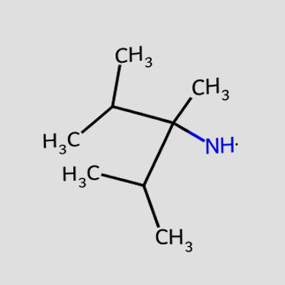 CC(C)C(C)([NH])C(C)C